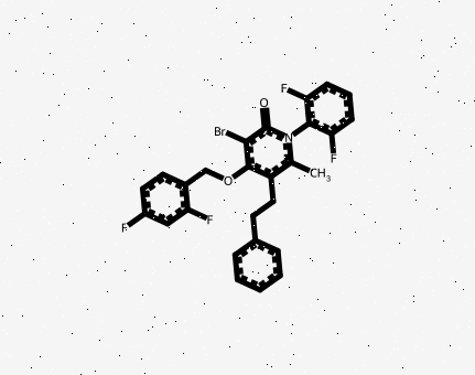 Cc1c(CCc2ccccc2)c(OCc2ccc(F)cc2F)c(Br)c(=O)n1-c1c(F)cccc1F